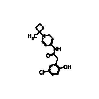 CC1(N2C=CC(NC(=O)Cc3cc(Cl)ccc3O)=CC2)CCC1